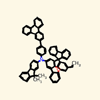 C=Cc1cccc(C2(c3cc(N(c4ccc(-c5ccc6c7ccccc7c7ccccc7c6c5)cc4)c4ccc5c(c4)C(C)(C)c4ccccc4-5)cc4c3oc3ccccc34)c3ccccc3-c3ccccc32)c1